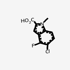 Cn1c(C(=O)O)cc2c(F)c(Cl)ccc21